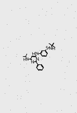 CC(C)Nc1cc(Nc2cccc(SNC(C)(C)C)c2)nc(-c2ccccc2)n1